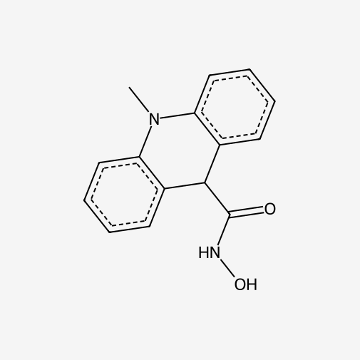 CN1c2ccccc2C(C(=O)NO)c2ccccc21